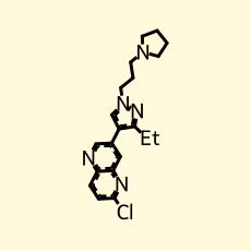 CCc1nn(CCCN2CCCC2)cc1-c1cnc2ccc(Cl)nc2c1